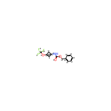 O=C(NC12CC(OC(F)(F)F)(C1)C2)OCc1ccccc1